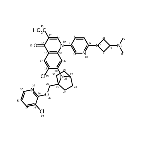 CN(C)C1CN(c2ccc(-n3cc(C(=O)O)c(=O)c4cc(Cl)c(N5C6CCC5(COc5ncccc5Cl)CC6)cc43)cn2)C1